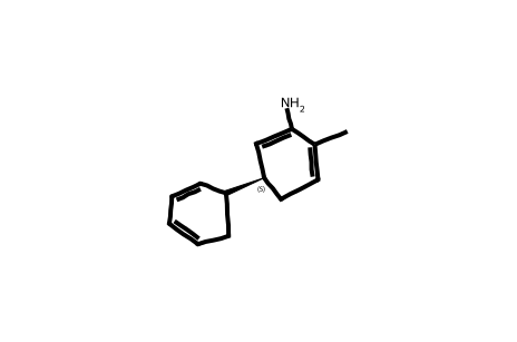 CC1=CC[C@@H](C2C=CC=CC2)C=C1N